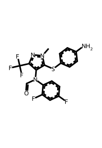 Cn1nc(C(F)(F)F)c(N(C=O)c2ccc(F)cc2F)c1Sc1ccc(N)cc1